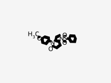 COc1ccc(-n2c(=O)ccc3c2ccn3S(=O)(=O)c2ccccc2)cc1